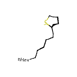 CCCCCCCCCCCC1CCCS1